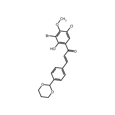 COc1c(Cl)cc(C(=O)C=Cc2ccc(C3OCCCO3)cc2)c(O)c1Br